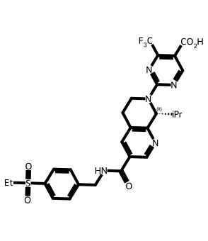 CCS(=O)(=O)c1ccc(CNC(=O)c2cnc3c(c2)CCN(c2ncc(C(=O)O)c(C(F)(F)F)n2)[C@@H]3C(C)C)cc1